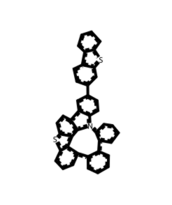 c1ccc2c(c1)sc1cc(-c3ccc4c(c3)c3ccc5sc6cccc7c8ccccc8c8ccccc8n4c3c5c67)ccc12